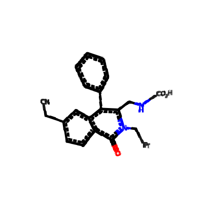 CC(C)Cn1c(CNC(=O)O)c(-c2ccccc2)c2cc(CC#N)ccc2c1=O